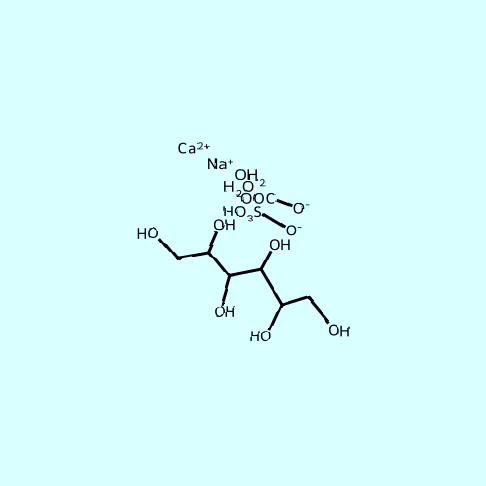 O.O.O=C([O-])[O-].O=S(=O)([O-])O.OCC(O)C(O)C(O)C(O)CO.[Ca+2].[Na+]